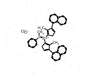 CC1=[C]([Zr+2]([C]2=C(C)C(c3cccc4ccccc34)=CC2)=[Si](C)c2ccccc2)CC=C1c1cccc2ccccc12.[Cl-].[Cl-]